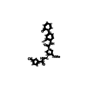 CNC1CN(C(=O)Nc2ccc(-n3ccccc3=O)cc2F)C[C@H]1CNC(=O)c1ccc(Cl)s1